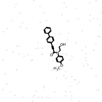 COc1ccc(N(CCO)C(=O)C#Cc2ccc(-c3ccccc3)cc2)cc1